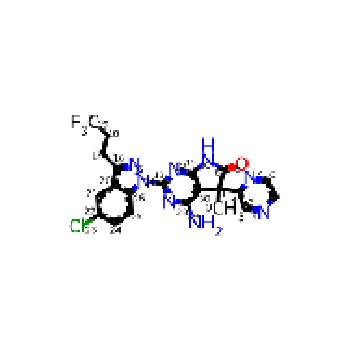 CC1(c2cnccn2)C(=O)Nc2nc(-n3nc(CCC(F)(F)F)c4cc(Cl)ccc43)nc(N)c21